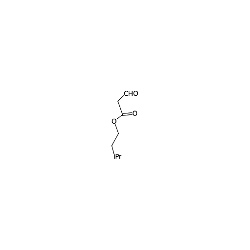 CC(C)CCOC(=O)CC=O